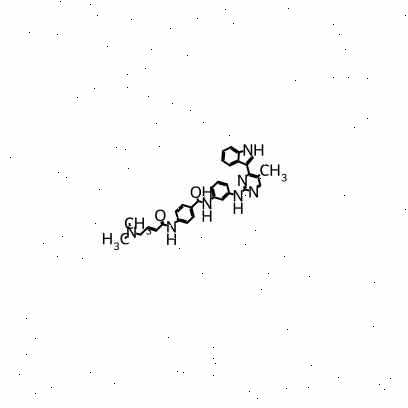 Cc1cnc(Nc2cccc(NC(O)c3ccc(NC(=O)/C=C/CN(C)C)cc3)c2)nc1-c1c[nH]c2ccccc12